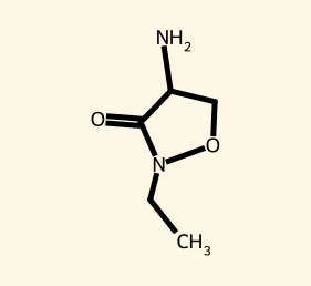 CCN1OCC(N)C1=O